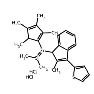 CC1=C(C)C(C)[C]([Zr]([CH]2C(C)=C(c3cccs3)c3ccccc32)=[Si](C)C)=C1C.Cl.Cl